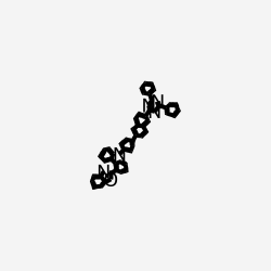 c1ccc(-c2nc(-c3ccccc3)nc(-c3ccc4cc(-c5ccc(-n6c7ccccc7c7c(-c8nc9ccccc9o8)cccc76)cc5)ccc4c3)n2)cc1